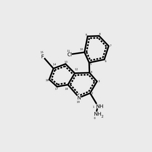 NNc1cc(-c2ccccc2Cl)c2cc(F)ccc2n1